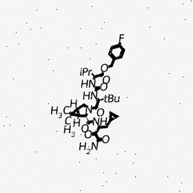 CC(C)[C@H](NC(=O)N[C@H](C(=O)N1C[C@H]2[C@@H]([C@H]1C(=O)NC(CC1CC1)C(=O)C(N)=O)C2(C)C)C(C)(C)C)C(=O)OCc1ccc(F)cc1